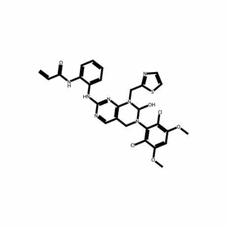 C=CC(=O)Nc1ccccc1Nc1ncc2c(n1)N(Cc1nccs1)C(O)N(c1c(Cl)c(OC)cc(OC)c1Cl)C2